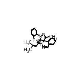 CC(C)=CC(=O)N1N=Cc2ccccc2C12C(=O)N(c1ccccc1F)N=C2C